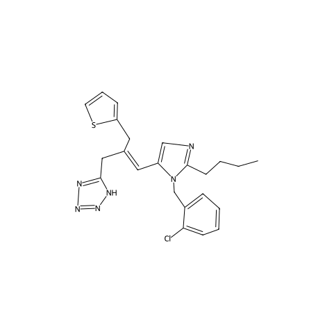 CCCCc1ncc(/C=C(/Cc2nnn[nH]2)Cc2cccs2)n1Cc1ccccc1Cl